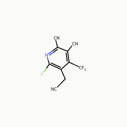 N#CCc1c(F)nc(C#N)c(C#N)c1C(F)(F)F